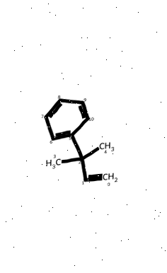 C=CC(C)(C)c1ccccc1